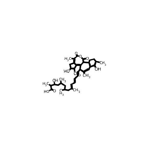 CC1=CC2C(O)C(C)CCC2C2C(=O)OC(=O)/C(C)=C3/CC(O)C(C)/C3=C/2C1/C=C/C=C/C=C(\C)CC(C)CC(C)CC(O)C(C)C(=O)O